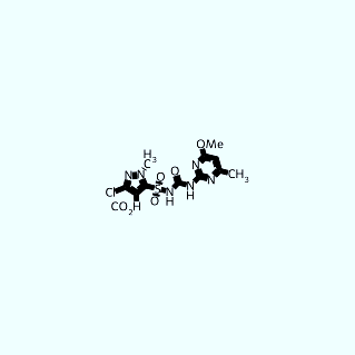 COc1cc(C)nc(NC(=O)NS(=O)(=O)c2c(C(=O)O)c(Cl)nn2C)n1